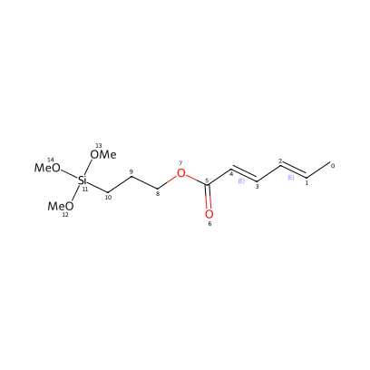 C/C=C/C=C/C(=O)OCCC[Si](OC)(OC)OC